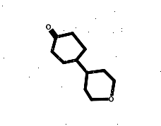 O=C1CCC(C2CCOCC2)CC1